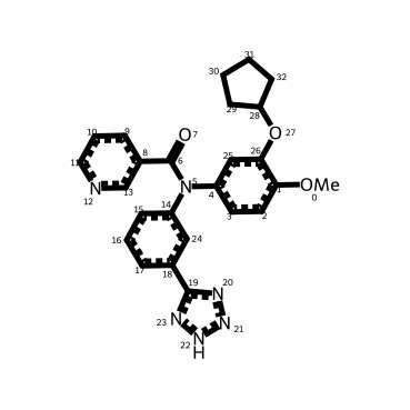 COc1ccc(N(C(=O)c2cccnc2)c2cccc(-c3nn[nH]n3)c2)cc1OC1CCCC1